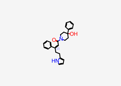 O=C(/C=C(/CCc1ccc[nH]1)c1ccccc1)N1CCC(O)(c2ccccc2)CC1